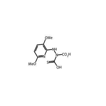 COc1ccc(OC)c(NN(C(=O)O)C(O)=S)n1